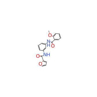 COc1ccccc1C(=O)Nc1cccc(NC(=O)c2ccco2)c1